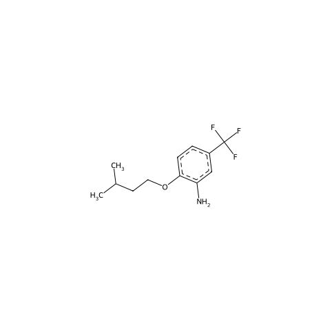 CC(C)CCOc1ccc(C(F)(F)F)cc1N